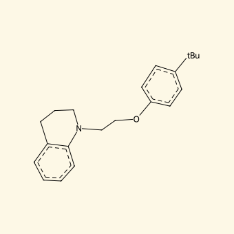 CC(C)(C)c1ccc(OCCN2CCCc3ccccc32)cc1